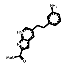 COC(=O)c1cc2cc(CCc3cccc(N)c3)c[nH]c-2n1